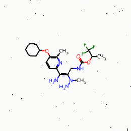 Cc1nc(/C(N)=C(\CNC(=O)OC(C)C(F)(F)F)N(C)N)ccc1OC1CCCCC1